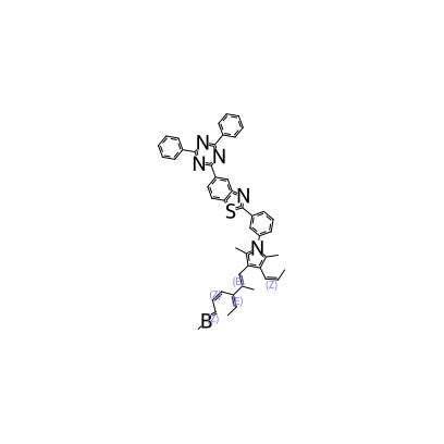 C\B=C/C=C\C(=C/C)C(\C)=C\c1c(/C=C\C)c(C)n(-c2cccc(-c3nc4cc(-c5nc(-c6ccccc6)nc(-c6ccccc6)n5)ccc4s3)c2)c1C